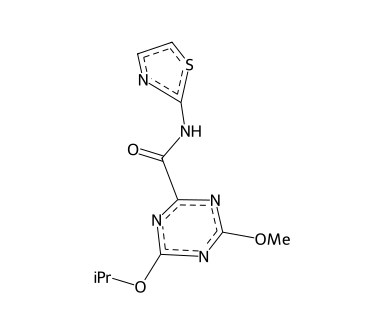 COc1nc(OC(C)C)nc(C(=O)Nc2nccs2)n1